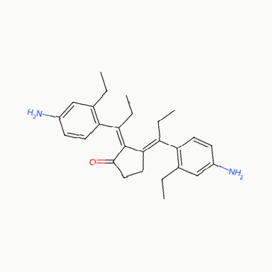 CCC(=C1CCC(=O)C1=C(CC)c1ccc(N)cc1CC)c1ccc(N)cc1CC